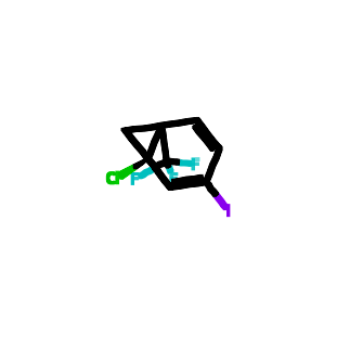 FC(F)(F)C12C=CC(I)=C[C@]1(Cl)C2